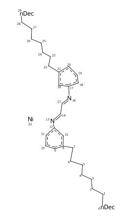 CCCCCCCCCCCCCCCCCc1cccc(N=CC=Nc2cccc(CCCCCCCCCCCCCCCCC)c2)c1.[Ni]